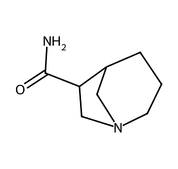 NC(=O)C1CN2CCCC1C2